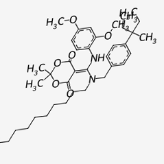 CCCCCCCCCCN(Cc1ccc(C(C)(CC)CC)cc1)C(Nc1ccc(OC)cc1OC)=C1C(=O)OC(C)(C)OC1=O